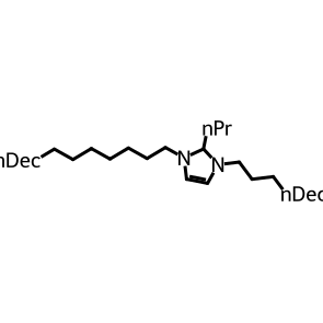 CCCCCCCCCCCCCCCCCN1C=CN(CCCCCCCCCCCCC)C1CCC